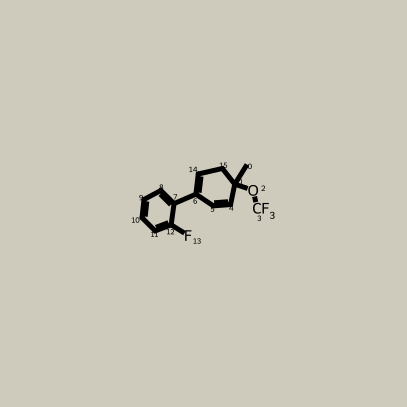 CC1(OC(F)(F)F)C=CC(c2ccccc2F)=CC1